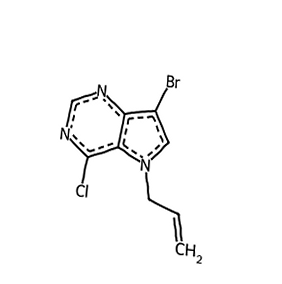 C=CCn1cc(Br)c2ncnc(Cl)c21